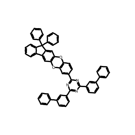 c1ccc(-c2cccc(-c3nc(-c4cccc(-c5ccccc5)c4)nc(-c4ccc5c(c4)Oc4cc6c(cc4O5)C(c4ccccc4)(c4ccccc4)c4ccccc4-6)n3)c2)cc1